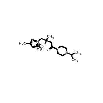 Cc1cc(C)n(CC(C)(C)CC(=O)N2CCN(C(C)C)CC2)n1